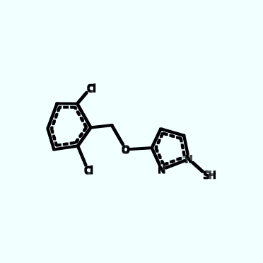 Sn1ccc(OCc2c(Cl)cccc2Cl)n1